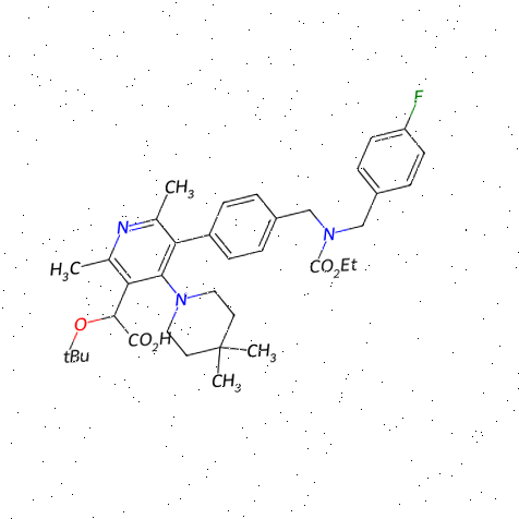 CCOC(=O)N(Cc1ccc(F)cc1)Cc1ccc(-c2c(C)nc(C)c(C(OC(C)(C)C)C(=O)O)c2N2CCC(C)(C)CC2)cc1